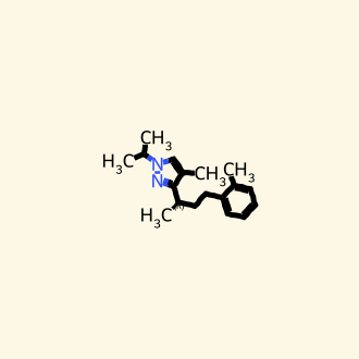 Cc1ccccc1CC[C@@H](C)c1nn(C(C)C)cc1C